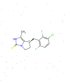 Cc1[nH]c(=S)n2c1[C@@H](Cc1c(F)ccc(Cl)c1F)CC2